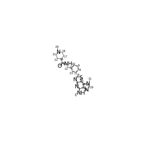 CNc1nc2nc(-c3cccc(CNC(=O)C4CCN(C)CC4)c3)sc2c2c1ncn2C